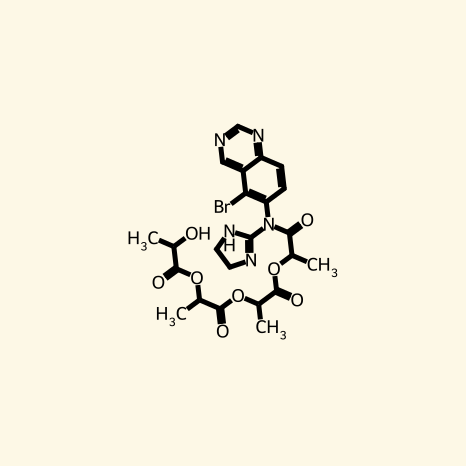 CC(O)C(=O)OC(C)C(=O)OC(C)C(=O)OC(C)C(=O)N(C1=NCCN1)c1ccc2ncncc2c1Br